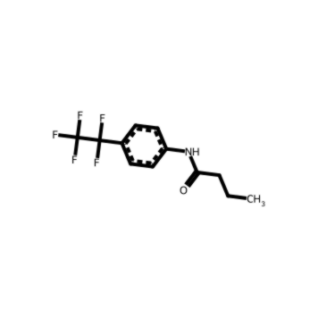 CCCC(=O)Nc1ccc(C(F)(F)C(F)(F)F)cc1